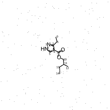 CCc1n[nH]cc1C(=O)OCC(C)CI